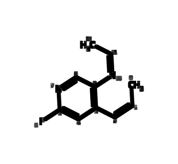 C/C=C\c1cc(F)ncc1/N=C\C